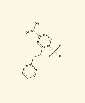 O=C(O)c1ccc(C(F)(F)F)c(OCc2ccccc2)c1